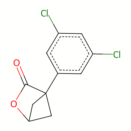 O=C1OC2CC1(c1cc(Cl)cc(Cl)c1)C2